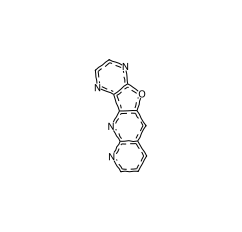 c1cnc2nc3c(cc2c1)oc1nccnc13